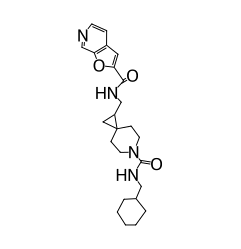 O=C(NCC1CC12CCN(C(=O)NCC1CCCCC1)CC2)c1cc2ccncc2o1